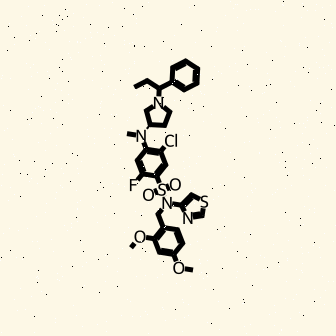 CCC(c1ccccc1)N1CC[C@H](N(C)c2cc(F)c(S(=O)(=O)N(Cc3ccc(OC)cc3OC)c3cscn3)cc2Cl)C1